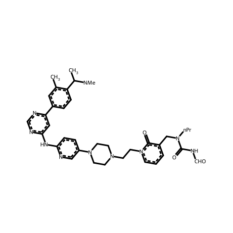 CCCN(Cc1cccn(CCN2CCN(c3ccc(Nc4cc(-c5ccc(C(C)NC)c(C)c5)ncn4)nc3)CC2)c1=O)C(=O)NC=O